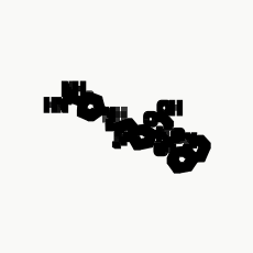 Cn1c(CNc2ccc(C(=N)N)cc2)cc2cc(N(CC(=O)O)S(=O)(=O)c3cccc4cccnc34)ccc21